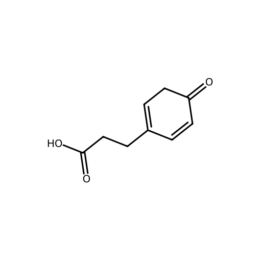 O=C(O)CCC1=CCC(=O)C=C1